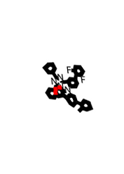 Cc1ccccc1-c1ccc2c3ccccc3n(-c3ccc(-c4c(F)cccc4F)cc3-c3nc(-c4ccccc4)nc(-c4ccccc4)n3)c2c1